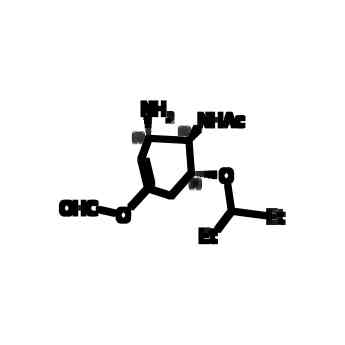 CCC(CC)O[C@@H]1CC(OC=O)=C[C@H](N)[C@H]1NC(C)=O